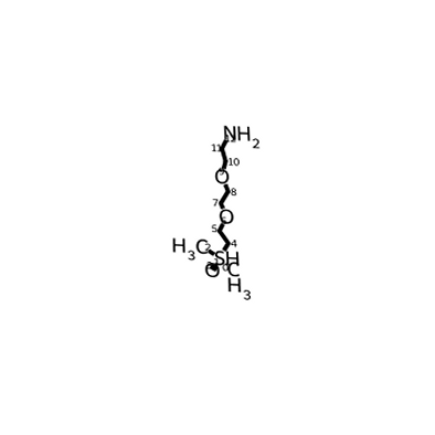 C[SH](C)(=O)CCOCCOCCN